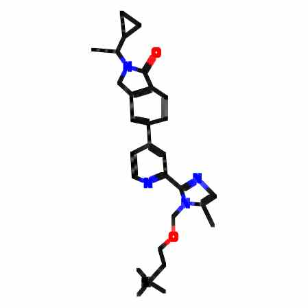 Cc1cnc(-c2cc(-c3ccc4c(c3)CN(C(C)C3CC3)C4=O)ccn2)n1COCC[Si](C)(C)C